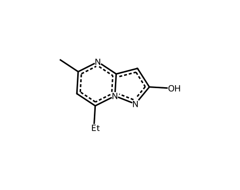 CCc1cc(C)nc2cc(O)nn12